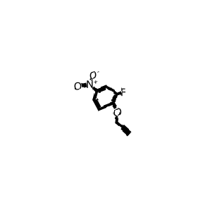 C#CCOc1ccc([N+](=O)[O-])cc1F